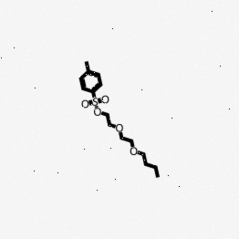 CCCCOCCOCCOS(=O)(=O)c1ccc(C)cc1